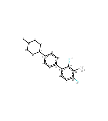 CC1CCC(c2ccc(-c3ccc(F)c(C(F)(F)F)c3F)cc2)CC1